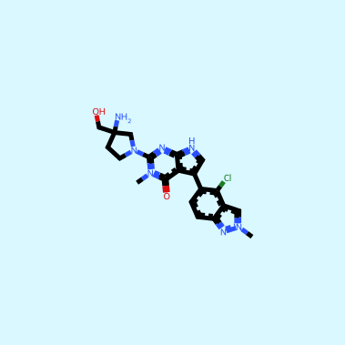 Cn1cc2c(Cl)c(-c3c[nH]c4nc(N5CCC(N)(CO)C5)n(C)c(=O)c34)ccc2n1